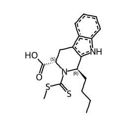 CCCC[C@@H]1c2[nH]c3ccccc3c2C[C@@H](C(=O)O)N1C(=S)SC